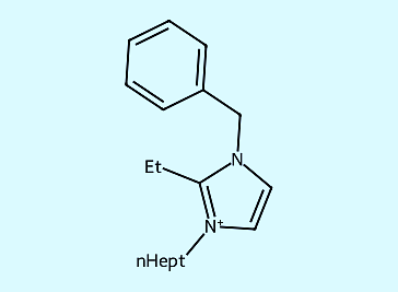 CCCCCCC[n+]1ccn(Cc2ccccc2)c1CC